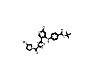 CC(C)(C)OC(=O)c1ccc(Nc2cc(Cl)ncc2-c2nnc(C(=O)N3CCC(O)C3)s2)cc1